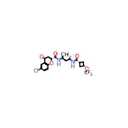 C=C(CCNC(=O)[C@H]1C[C@@H](OC(F)(F)F)C1)NC(=O)[C@H]1CC(=O)c2cc(Cl)ccc2O1